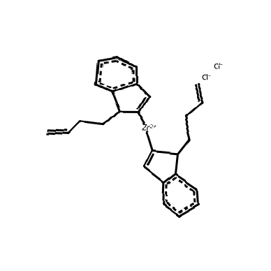 C=CCCC1[C]([Zr+2][C]2=Cc3ccccc3C2CCC=C)=Cc2ccccc21.[Cl-].[Cl-]